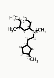 BCC(CC(C)CC)N(C)CCC1CCC(C)C1